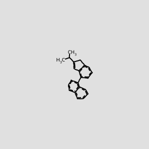 CC(C)C1=Cc2c(cccc2-c2cccc3ccccc23)C1